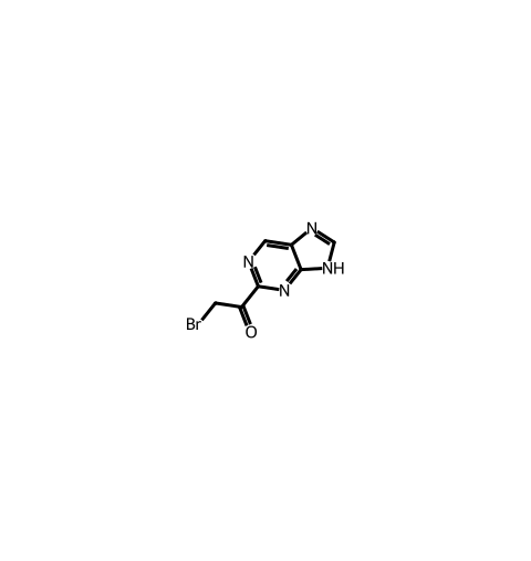 O=C(CBr)c1ncc2nc[nH]c2n1